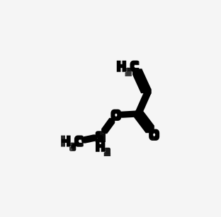 C=CC(=O)O[SiH2]C